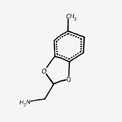 Cc1ccc2c(c1)OC(CN)O2